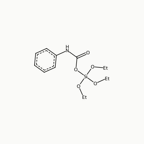 CCO[Si](OCC)(OCC)OC(=O)Nc1ccccc1